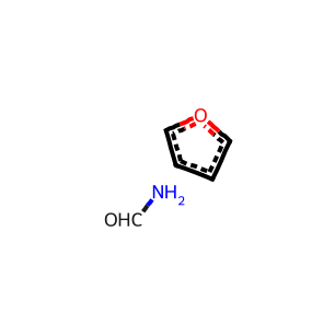 NC=O.c1ccoc1